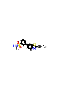 CCNS(=O)(=O)c1cccc(-c2ccc3nc(NC(C)=O)sc3c2)c1